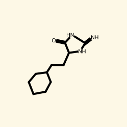 N=C1NC(=O)C(CCC2CCCCC2)N1